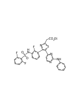 CCOC(=O)Cc1nc(-c2cccc(NS(=O)(=O)c3c(F)cccc3F)c2F)c(-c2ccnc(Nc3ccccc3)n2)s1